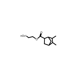 CCCCCCCCCCOC(=O)C1CC2CC1C(C)C2C